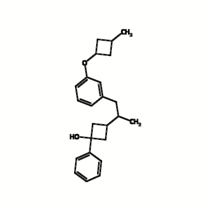 CC1CC(Oc2cccc(CC(C)C3CC(O)(c4ccccc4)C3)c2)C1